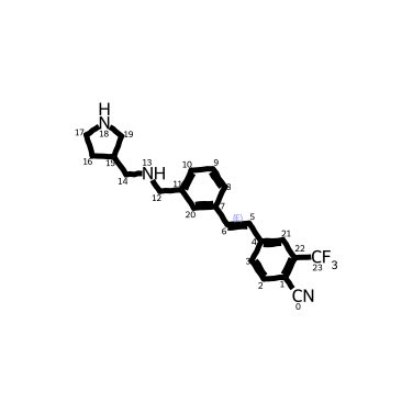 N#Cc1ccc(/C=C/c2cccc(CNCC3CCNC3)c2)cc1C(F)(F)F